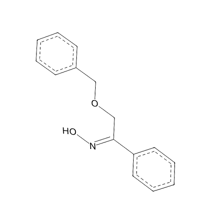 ON=C(COCc1ccccc1)c1ccccc1